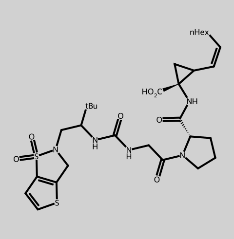 CCCCCC/C=C\C1C[C@]1(NC(=O)[C@@H]1CCCN1C(=O)CNC(=O)NC(CN1Cc2sccc2S1(=O)=O)C(C)(C)C)C(=O)O